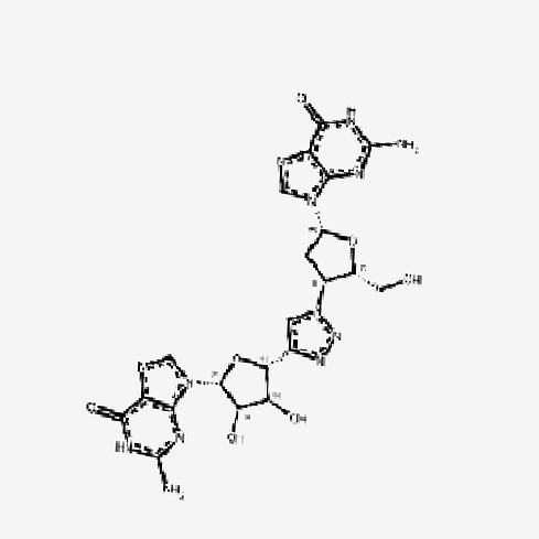 Nc1nc2c(ncn2[C@@H]2O[C@H](c3cn([C@H]4C[C@H](n5cnc6c(=O)[nH]c(N)nc65)O[C@@H]4CO)nn3)[C@@H](O)[C@H]2O)c(=O)[nH]1